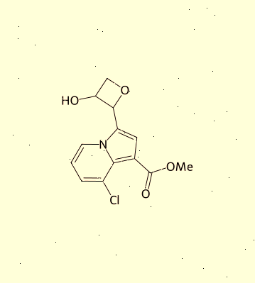 COC(=O)c1cc(C2OCC2O)n2cccc(Cl)c12